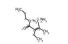 CCCOC(=O)C(CC)=C(C)C.N